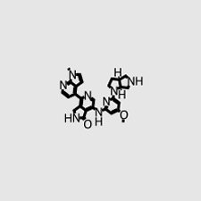 COc1cc(Nc2cnc(-c3ccnc4c3ccn4C)c3c2C(=O)NC3)nc(N2CC[C@H]3CNC[C@H]32)c1